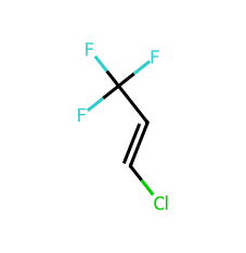 FC(F)(F)C=CCl